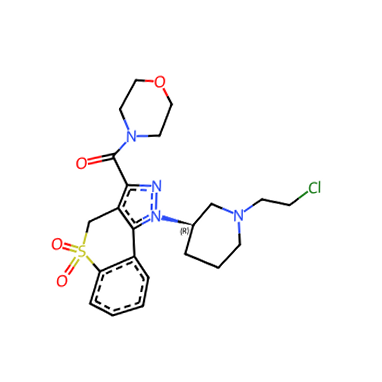 O=C(c1nn([C@@H]2CCCN(CCCl)C2)c2c1CS(=O)(=O)c1ccccc1-2)N1CCOCC1